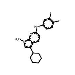 Cn1cc(C2CCCCC2)c2ccc(Nc3ccc(F)c(F)c3)nc21